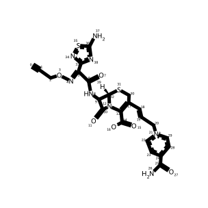 C#CCON=C(C(=O)NC1C(=O)N2C(C(=O)[O-])=C(C=CC[n+]3ccc(C(N)=O)cc3)CS[C@@H]12)c1nsc(N)n1